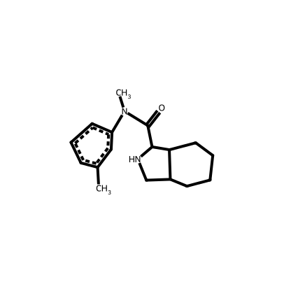 Cc1cccc(N(C)C(=O)C2NCC3CCCCC32)c1